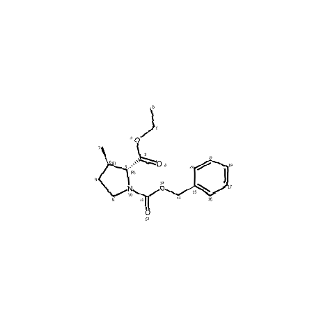 CCOC(=O)[C@H]1[C@H](C)CCN1C(=O)OCc1ccccc1